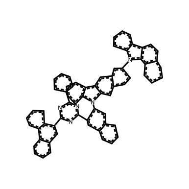 c1ccc(-c2nc(-c3cc4ccccc4cc3-n3c4ccccc4c4cc5cc(-n6c7ccccc7c7ccc8ccccc8c76)ccc5cc43)nc(-c3cc4ccccc4c4ccccc34)n2)cc1